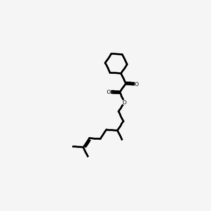 CC(C)=CCCC(C)CCOC(=O)C(=O)C1CCCCC1